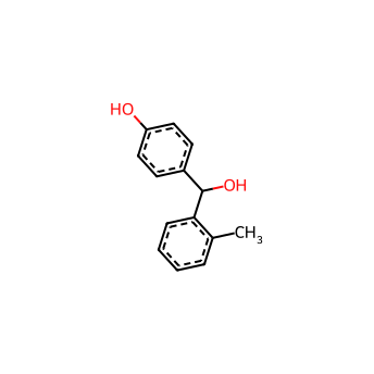 Cc1ccccc1C(O)c1ccc(O)cc1